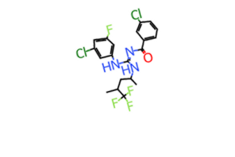 CC(CC(C)C(F)(F)F)N/C(=N\C(=O)c1cccc(Cl)c1)Nc1cc(F)cc(Cl)c1